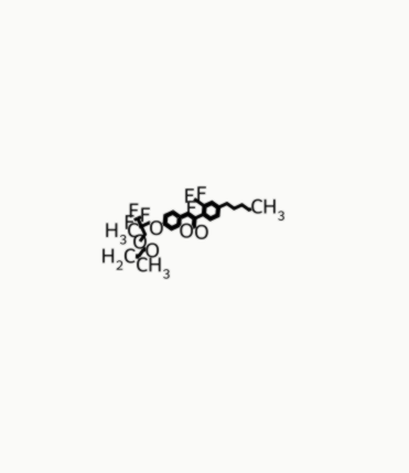 C=C(C)C(=O)OCC(C)(COc1ccc2cc(-c3ccc(CCCCC)cc3C(F)(F)F)c(=O)oc2c1)C(F)(F)F